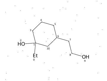 CCC1(O)CCCC(CCO)C1